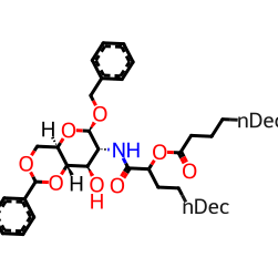 CCCCCCCCCCCCCC(=O)OC(CCCCCCCCCCCC)C(=O)N[C@H]1[C@H](OCc2ccccc2)O[C@@H]2COC(c3ccccc3)O[C@H]2[C@@H]1O